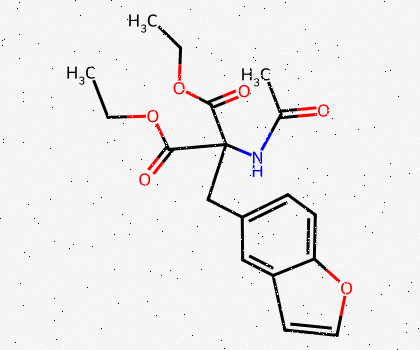 CCOC(=O)C(Cc1ccc2occc2c1)(NC(C)=O)C(=O)OCC